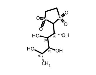 C[C@H](O)[C@H](O)[C@@H](O)[C@@H](O)C1S(=O)(=O)CCS1(=O)=O